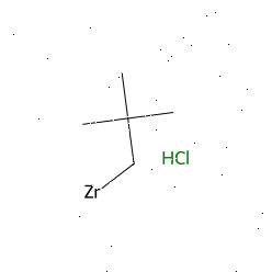 CC(C)(C)[CH2][Zr].Cl